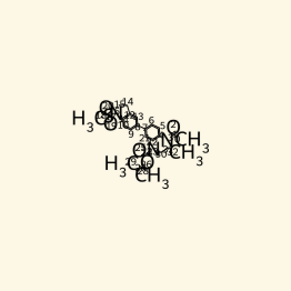 CC(=O)N1c2ccc(-c3ccc4c(c3)CCN4S(C)(=O)=O)cc2N(C(=O)OC(C)C)C[C@@H]1C